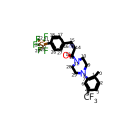 Cc1ccc(C(F)(F)F)cc1N1CCN(C(=O)/C=C\c2ccc(S(F)(F)(F)(F)F)cc2)CC1